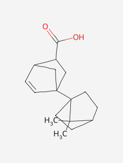 CC1(C)C2CCC1(C13C=CC(C1)C(C(=O)O)C3)CC2